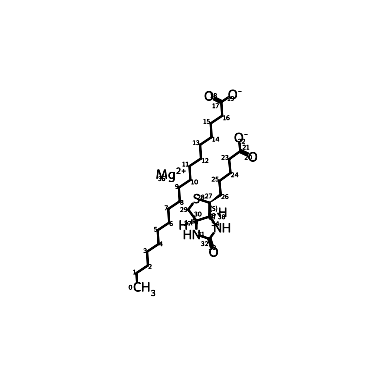 CCCCCCCCCCCCCCCCCC(=O)[O-].O=C([O-])CCCC[C@@H]1SC[C@@H]2NC(=O)N[C@@H]21.[Mg+2]